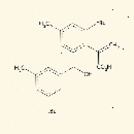 C=C(C(=O)O)c1c(C(O)c2cc(C)cc(C(C)(C)C)c2)cc(C)cc1C(C)(C)C